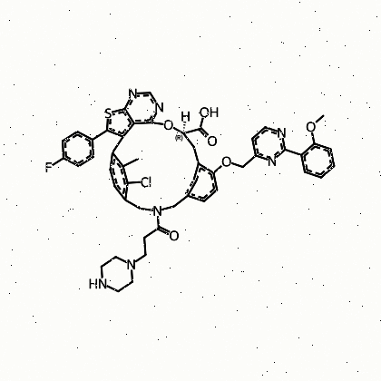 COc1ccccc1-c1nccc(COc2ccc3cc2C[C@H](C(=O)O)Oc2ncnc4sc(-c5ccc(F)cc5)c(c24)-c2ccc(c(Cl)c2C)CN(C(=O)CCN2CCNCC2)C3)n1